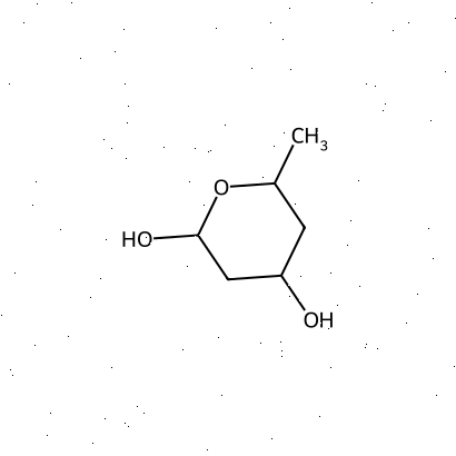 CC1CC(O)CC(O)O1